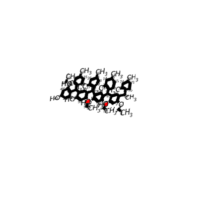 CCOc1cc(O)c(C(c2ccc(C)cc2C)c2cc(C(c3ccc(C)cc3C)c3cc(C(c4ccc(C)cc4C)c4ccc(O)cc4OCC)c(O)cc3OCC)c(O)cc2OCC)cc1C(C)c1ccc(C)cc1C